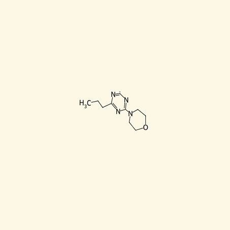 CCCc1n[c]nc(N2CCOCC2)n1